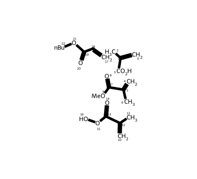 C=C(C)C(=O)O.C=C(C)C(=O)OC.C=C(C)C(=O)OO.C=CC(=O)OCCCC